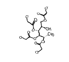 O=C[C@H](OC(=O)CCl)[C@@H](OC(=O)CCl)[C@H](OC(=O)CCl)[C@H](O)COC(=O)CCl